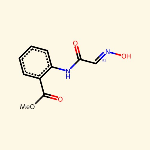 COC(=O)c1ccccc1NC(=O)/C=N/O